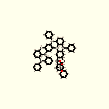 c1ccc(N2c3ccccc3B3c4cc5c(cc4Oc4cccc2c43)N(c2ccccc2)c2cccc3c2B5c2cc4c(cc2N3c2ccccc2)Oc2cccc3c2B4c2ccccc2N3c2ccccc2)cc1